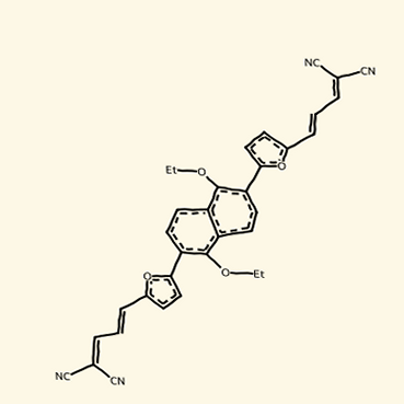 CCOc1c(-c2ccc(/C=C/C=C(C#N)C#N)o2)ccc2c(OCC)c(-c3ccc(/C=C/C=C(C#N)C#N)o3)ccc12